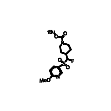 COc1ccc(S(=O)(=O)C(F)C2CCN(C(=O)OC(C)(C)C)CC2)cn1